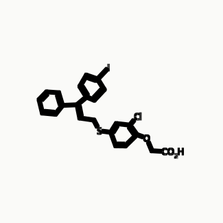 O=C(O)COc1ccc(SCC=C(c2ccccc2)c2ccc(I)cc2)cc1Cl